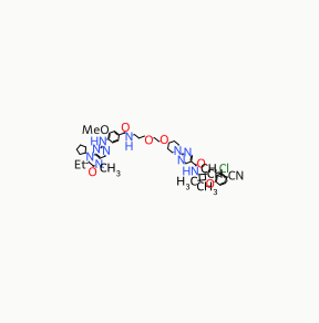 CC[C@@H]1C(=O)N(C)c2cnc(Nc3ccc(C(=O)NCCCOCCOC4CCN(c5ncc(C(=O)NC6C(C)(C)C(Oc7ccc(C#N)c(Cl)c7)C6(C)C)cn5)CC4)cc3OC)nc2N1C1CCCC1